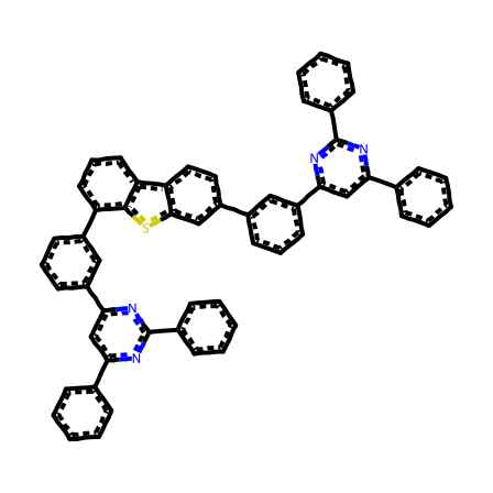 c1ccc(-c2cc(-c3cccc(-c4ccc5c(c4)sc4c(-c6cccc(-c7cc(-c8ccccc8)nc(-c8ccccc8)n7)c6)cccc45)c3)nc(-c3ccccc3)n2)cc1